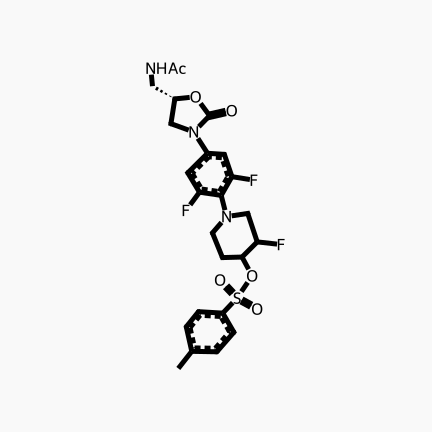 CC(=O)NC[C@H]1CN(c2cc(F)c(N3CCC(OS(=O)(=O)c4ccc(C)cc4)C(F)C3)c(F)c2)C(=O)O1